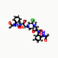 CC(=O)Nc1ccccc1N(O)C(=O)CN1CC[N+](C)(CC(=O)N(O)c2ccccc2NC(C)=O)CC1.[Cl-]